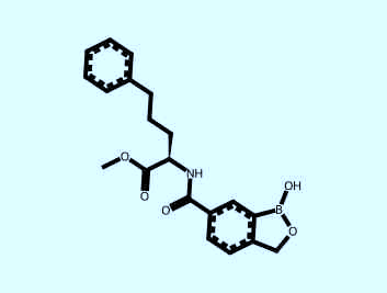 COC(=O)[C@@H](CCCc1ccccc1)NC(=O)c1ccc2c(c1)B(O)OC2